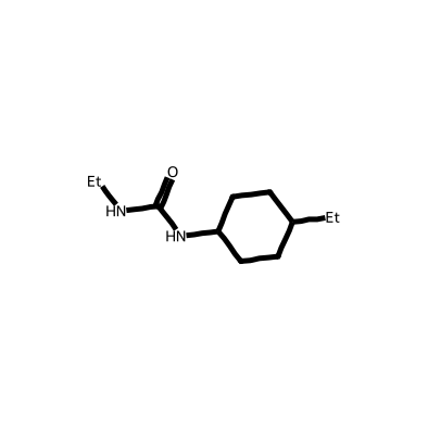 CCNC(=O)NC1CCC(CC)CC1